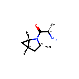 CC(C)[C@H](N)C(=O)N1[C@H](C#N)C[C@@H]2C[C@@H]21